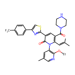 CCOc1ncc(C)cc1-n1c(C=C(C)C)c(C(=O)N2CCNCC2)cc(-c2nc(-c3ccc(C(F)(F)F)cc3)cs2)c1=O